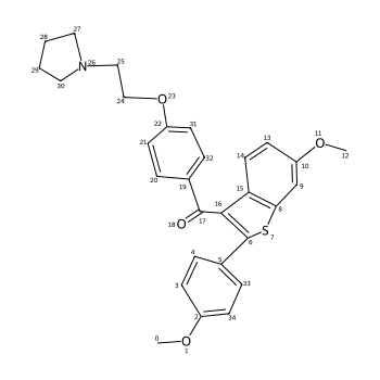 COc1ccc(-c2sc3cc(OC)ccc3c2C(=O)c2ccc(OCCN3CCCC3)cc2)cc1